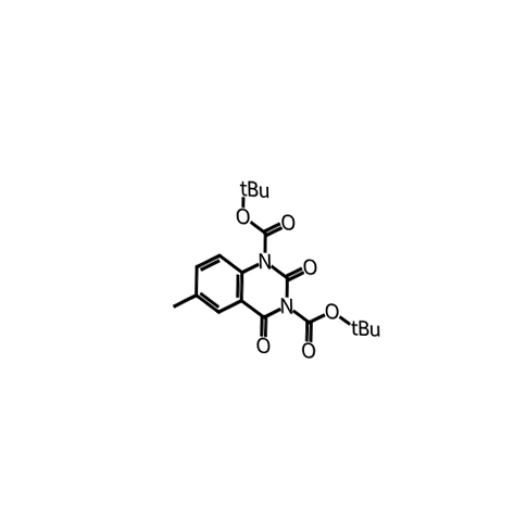 Cc1ccc2c(c1)c(=O)n(C(=O)OC(C)(C)C)c(=O)n2C(=O)OC(C)(C)C